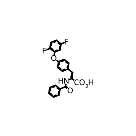 O=C(O)C(=Cc1ccc(Oc2cc(F)ccc2F)cc1)NC(=O)c1ccccc1